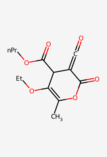 CCCOC(=O)C1C(=C=O)C(=O)OC(C)=C1OCC